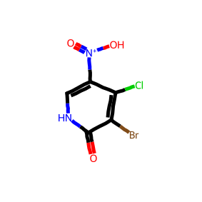 O=c1[nH]cc([N+](=O)O)c(Cl)c1Br